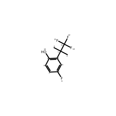 CC(C)(c1cc(F)ccc1O)C(F)(F)F